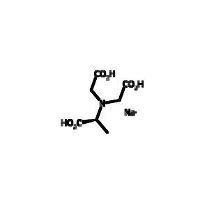 C[C@@H](C(=O)O)N(CC(=O)O)CC(=O)O.[Na]